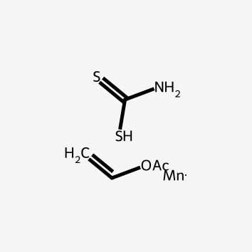 C=COC(C)=O.NC(=S)S.[Mn]